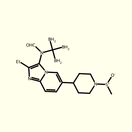 BC(B)(B)N(C=O)c1c(CC)nc2ccc(C3CCN([S+](C)[O-])CC3)cn12